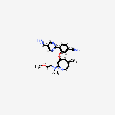 COCCN(C)C1=N/CCC(C)C/C(Oc2cc(C#N)ccc2-c2ncc(CN)cn2)=C\1